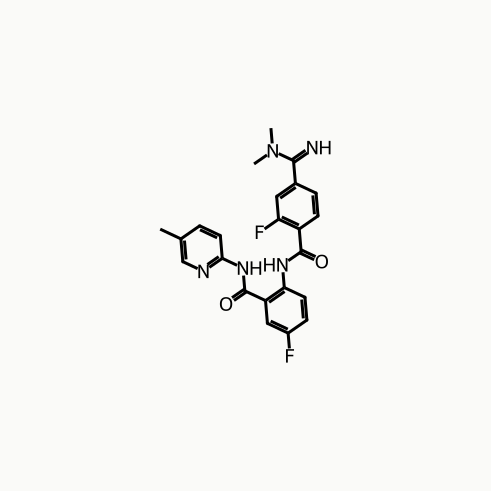 Cc1ccc(NC(=O)c2cc(F)ccc2NC(=O)c2ccc(C(=N)N(C)C)cc2F)nc1